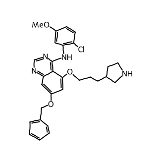 COc1ccc(Cl)c(Nc2ncnc3cc(OCc4ccccc4)cc(OCCCC4CCNC4)c23)c1